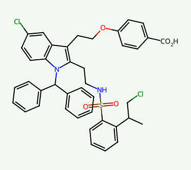 CC(CCl)c1ccccc1S(=O)(=O)NCCc1c(CCOc2ccc(C(=O)O)cc2)c2cc(Cl)ccc2n1C(c1ccccc1)c1ccccc1